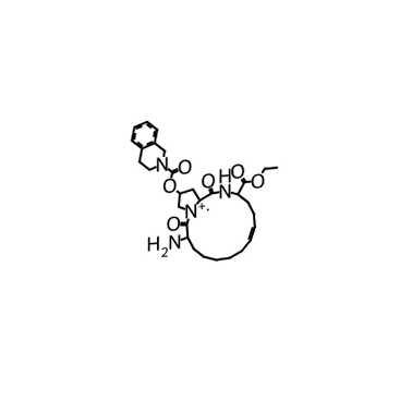 CCOC(=O)C1CCC=CCCCCCC(N)C(=O)[N+]2CC(OC(=O)N3CCc4ccccc4C3)CC2C(=O)N1